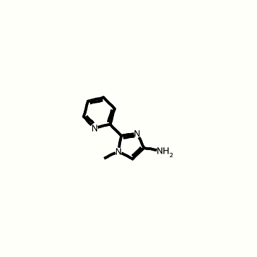 Cn1cc(N)nc1-c1ccccn1